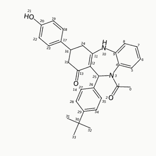 CC(=O)N1c2ccccc2NC2=C(C(=O)CC(c3ccc(O)cc3)C2)C1c1ccc(C(C)(C)C)cc1